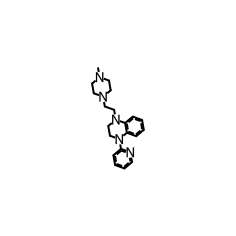 CN1CCN(CCN2CCN(c3ccccn3)c3ccccc32)CC1